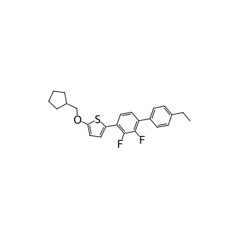 CCc1ccc(-c2ccc(-c3ccc(OCC4CCCC4)s3)c(F)c2F)cc1